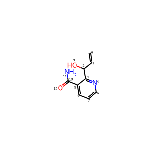 C=CC(O)c1ncccc1C(N)=O